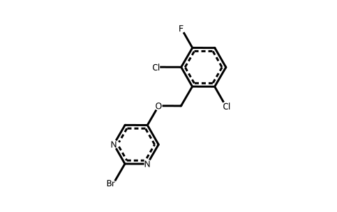 Fc1ccc(Cl)c(COc2cnc(Br)nc2)c1Cl